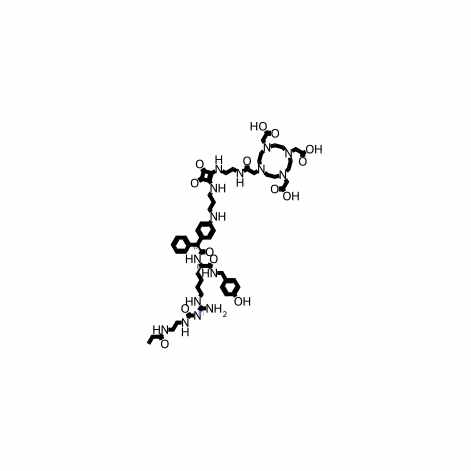 CCC(=O)NCCNC(=O)/N=C(/N)NCCCC[C@@H](NC(=O)[C@@H](c1ccccc1)c1ccc(NCCCNc2c(NCCNC(=O)CN3CCN(CC(=O)O)CCN(CC(=O)O)CCN(CC(=O)O)CC3)c(=O)c2=O)cc1)C(=O)NCc1ccc(O)cc1